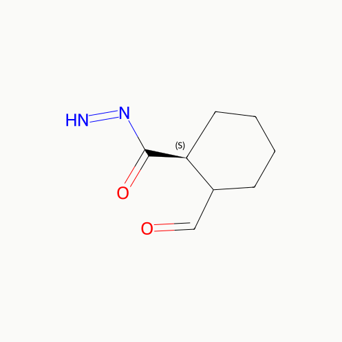 N=NC(=O)[C@H]1CCCCC1C=O